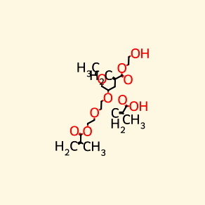 C=C(C)C(=O)O.C=C(C)C(=O)OCCOCCOC(COCC)CC(=C)C(=O)OCCO